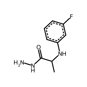 CC(Nc1cccc(F)c1)C(=O)NN